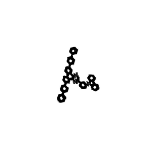 c1ccc(-c2ccc(-c3ccc4c5ccc(-c6ccc(-c7ccccc7)cc6)cc5c5nc(-c6cccc(-n7c8ccccc8c8ccccc87)c6)cnc5c4c3)cc2)cc1